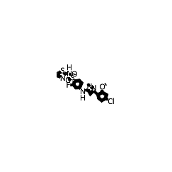 COc1cc(Cl)ccc1-c1cc(Nc2ccc(S(=O)(=O)Nc3nccs3)c(F)c2)n(C)n1